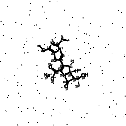 CSc1nc(SC)n2cc(C3=C(C(=O)[O-])N4C(=O)[C@H]([C@@H](C)O)[C@H]4[C@H]3C)sc12.[Na+]